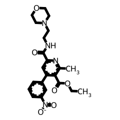 CCOC(=O)c1c(-c2cccc([N+](=O)[O-])c2)cc(C(=O)NCCN2CCOCC2)nc1C